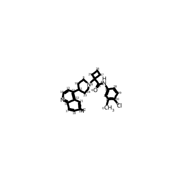 Cc1cc(NC(=O)C2(N3CCC(c4ccnc5ccc(F)cc45)CC3)CCC2)ccc1Cl